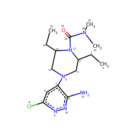 CCC1CN(c2cc(Cl)nnc2N)CC(CC)N1C(=O)N(C)C